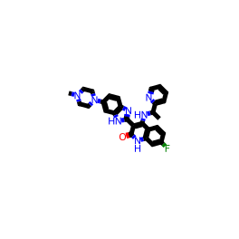 CC(Nc1c(-c2nc3ccc(N4CCN(C)CC4)cc3[nH]2)c(=O)[nH]c2cc(F)ccc12)c1ccccn1